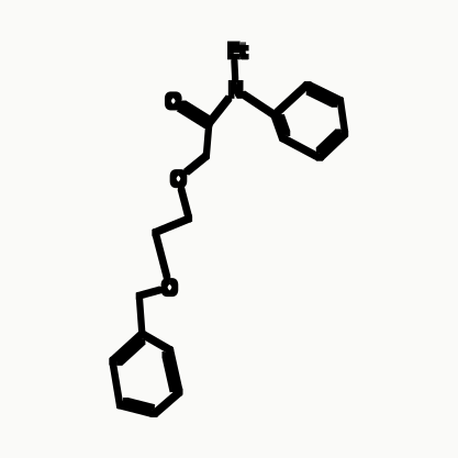 CCN(C(=O)COCCOCc1ccccc1)c1ccccc1